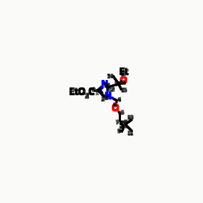 CCOC(=O)c1cn(COCC[Si](C)(C)C)c(C(C)(C)OCC)n1